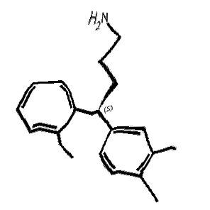 Cc1ccc([C@H](CCCN)c2ccccc2C)cc1C